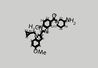 COc1ccc2c(c1)cc(-c1nc3cc(C(=O)N4CCCC(N)C4)ccc3n1C)n2CC1CC1